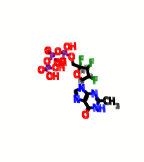 Cc1nc2c(ncn2[C@@H]2O[C@](F)(COP(=O)(O)OP(=O)(O)OP(=O)(O)O)[C@@H](F)[C@H]2F)c(=O)[nH]1